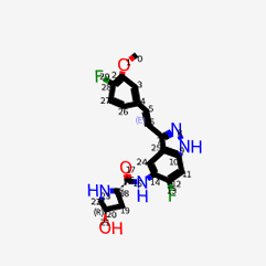 COc1cc(/C=C/c2n[nH]c3cc(F)c(NC(=O)[C@@H]4C[C@@H](O)CN4)cc23)ccc1F